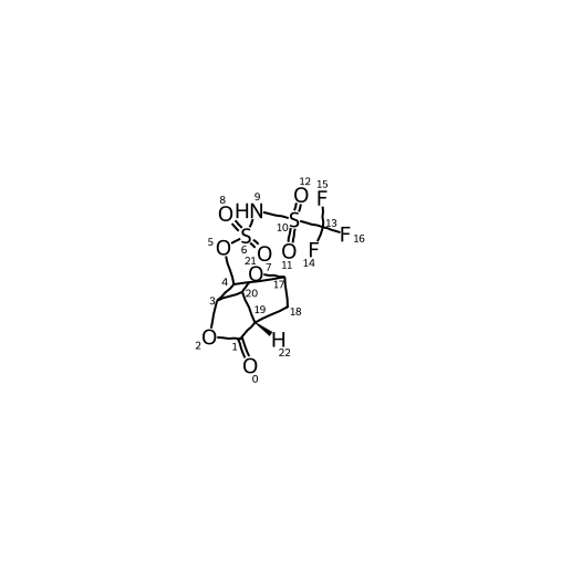 O=C1OC2C(OS(=O)(=O)NS(=O)(=O)C(F)(F)F)C3C[C@H]1C2O3